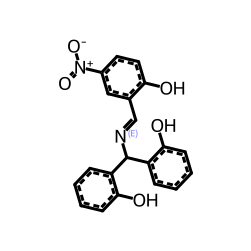 O=[N+]([O-])c1ccc(O)c(/C=N/C(c2ccccc2O)c2ccccc2O)c1